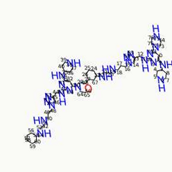 c1c(NC2CCNCC2)nc(NCc2cn(CCCNCCNC3CCCC(C4CN(c5cc(NC6CCNCC6)nc(NCc6cn(CCCNCCNC7CCCCC7)nn6)n5)CCO4)C3)nn2)nc1N1CCNCC1